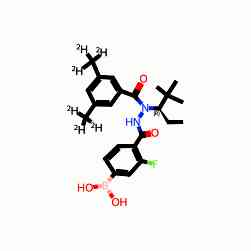 [2H]C([2H])([2H])c1cc(C(=O)N(NC(=O)c2ccc(B(O)O)cc2F)[C@H](CC)C(C)(C)C)cc(C([2H])([2H])[2H])c1